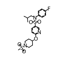 CC(C)CN(c1ccc(F)cc1)S(=O)(=O)c1ccc(OC2CCN(S(C)(=O)=O)CC2)nc1